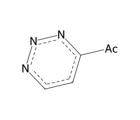 CC(=O)c1ccnnn1